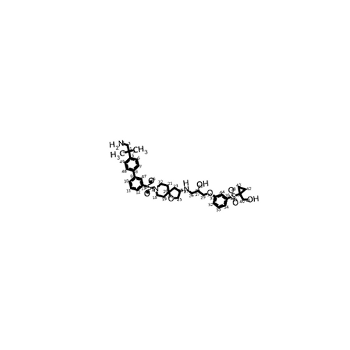 CC(C)(CN)c1ccc(-c2cccc(S(=O)(=O)N3CCC4(CC3)C[C@H](NC[C@H](O)COc3cccc(S(=O)(=O)C5(CO)CC5)c3)CO4)c2)cc1